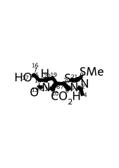 CSc1nc(C)n2cc(C3=C(C(=O)O)N4C(=O)[C@H]([C@@H](C)O)[C@H]4C3)sc12